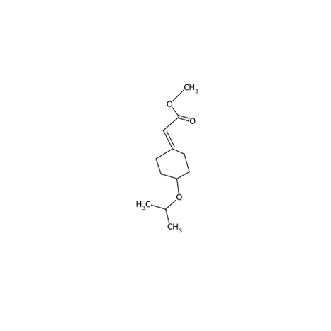 COC(=O)C=C1CCC(OC(C)C)CC1